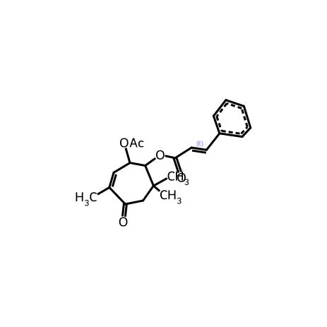 CC(=O)OC1C=C(C)C(=O)CC(C)(C)C1OC(=O)/C=C/c1ccccc1